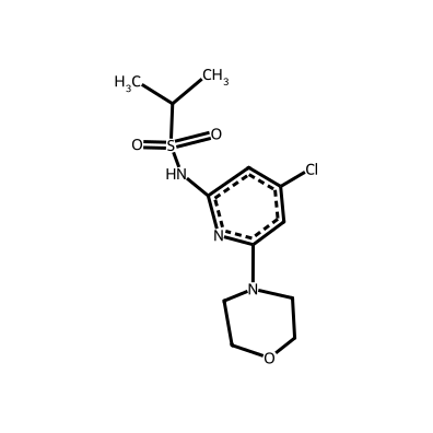 CC(C)S(=O)(=O)Nc1cc(Cl)cc(N2CCOCC2)n1